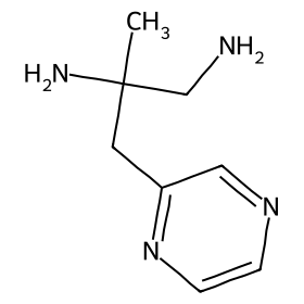 CC(N)(CN)Cc1cnccn1